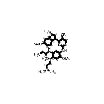 C=CC(=O)Nc1cc(Nc2ncc(C(F)(F)F)c(-c3cn(C)c4cc(OC)ccc34)n2)c(OC)cc1N(C)CCN(C)C